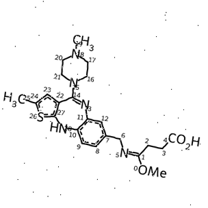 COC(CCC(=O)O)=NCc1ccc2c(c1)N=C(N1CCN(C)CC1)c1cc(C)sc1N2